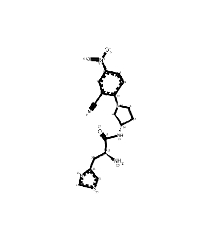 N#Cc1cc([N+](=O)[O-])ccc1N1CC[C@H](NC(=O)[C@@H](N)Cc2cscn2)C1